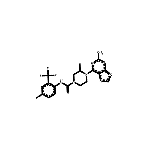 Cc1ccc(NC(=O)N2CCN(c3nc(N)nc4scnc34)C(C)C2)c(C(F)(F)F)c1